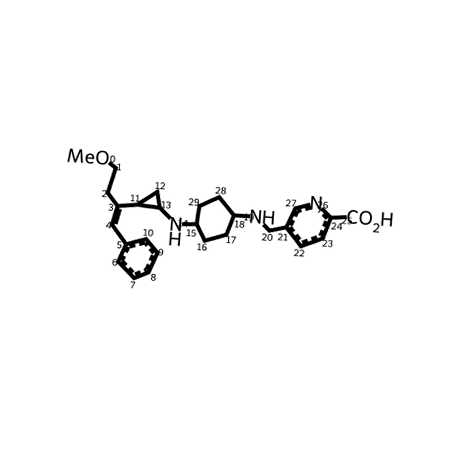 COCCC(=Cc1ccccc1)C1CC1NC1CCC(NCc2ccc(C(=O)O)nc2)CC1